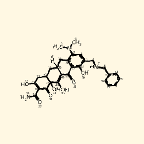 CN(C)c1cc(CNCc2ccccc2)c(O)c2c1C[C@H]1CC3CC(O)=C(C(N)=O)C(=O)C3(O)C(O)=C1C2=O